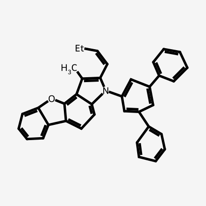 CC/C=C\c1c(C)c2c3oc4ccccc4c3ccc2n1-c1cc(-c2ccccc2)cc(-c2ccccc2)c1